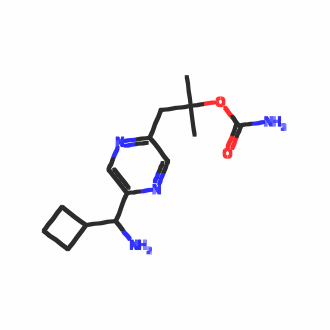 CC(C)(Cc1cnc(C(N)C2CCC2)cn1)OC(N)=O